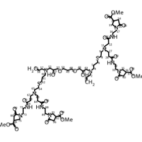 C=CCN(CCCSCCN(CCC(=O)NCCN1CC(C(=O)OC)CC1=O)CCC(=O)NCCN1CC(C(=O)OC)CC1=O)CC(O)COCCCOCC(O)CN(CC=C)CCCSCCN(CCC(=O)NCCN1CC(C(=O)OC)CC1=O)CCC(=O)NCCN1CC(C(=O)OC)CC1=O